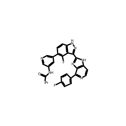 CC(C)C(=O)Nc1cncc(-c2ccc3[nH]nc(-c4nc5c(-c6ccc(F)cc6)nccc5[nH]4)c3c2F)c1